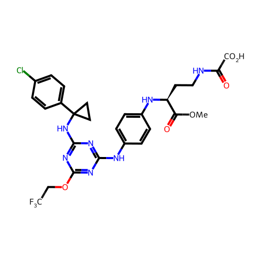 COC(=O)[C@H](CCNC(=O)C(=O)O)Nc1ccc(Nc2nc(NC3(c4ccc(Cl)cc4)CC3)nc(OCC(F)(F)F)n2)cc1